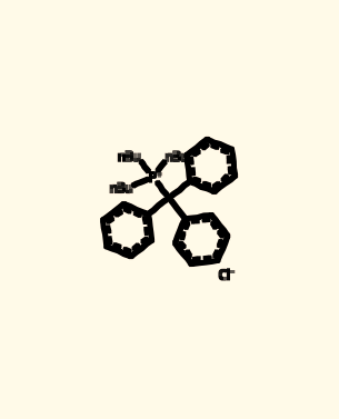 CCCC[P+](CCCC)(CCCC)C(c1ccccc1)(c1ccccc1)c1ccccc1.[Cl-]